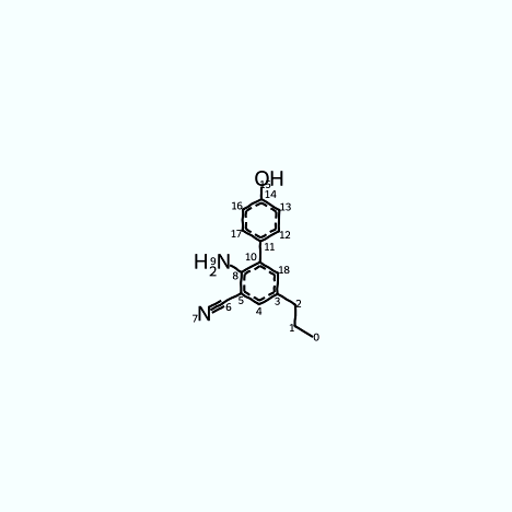 CCCc1cc(C#N)c(N)c(-c2ccc(O)cc2)c1